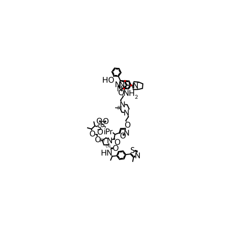 Cc1ncsc1-c1ccc(C(C)NC(=O)[C@@H]2C[C@@H](OC(=O)OC(C)C(C)SS(C)(=O)=O)CN2C(=O)C(c2cc(OCCN3CCN(CCOc4cc(N5C6CCC5CN(c5cc(-c7ccccc7O)nnc5N)C6)ccn4)[C@H](C)C3)no2)C(C)C)cc1